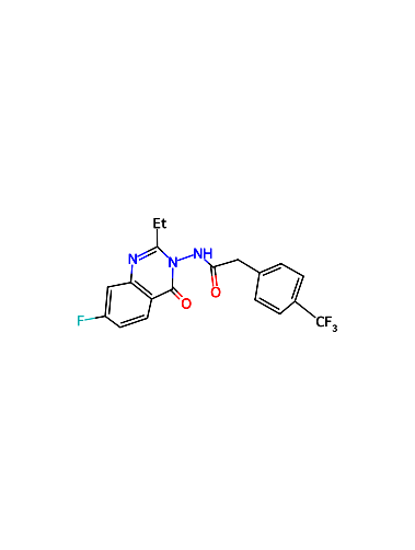 CCc1nc2cc(F)ccc2c(=O)n1NC(=O)Cc1ccc(C(F)(F)F)cc1